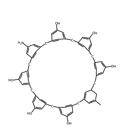 CC1=CC2=CC(C1)Cc1cc(O)cc(c1)Cc1cc(O)cc(c1)Cc1cc(O)cc(c1)Cc1cc(N)cc(c1)Cc1cc(O)cc(c1)Cc1cc(O)cc(c1)Cc1cc(O)cc(c1)C2